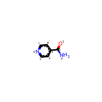 NC(=O)c1[c]cncc1